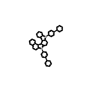 c1ccc(-c2ccc(-n3c4ccccc4c4c5c6c7ccccc7ccc6n(-c6ccc(-c7ccccc7)cc6)c5ccc43)cc2)cc1